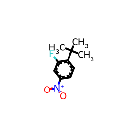 CC(C)(C)c1ccc([N+](=O)[O-])cc1F